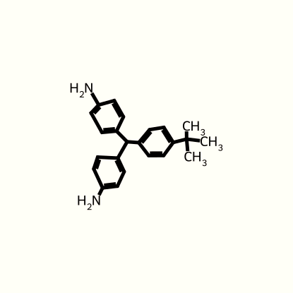 CC(C)(C)c1ccc(C(c2ccc(N)cc2)c2ccc(N)cc2)cc1